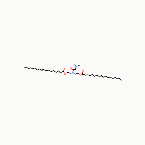 CCCCCCCCC=CCCCCCCCC(=O)OCCN(CCOC(=O)CCCCCCCC=CCCCCCCCC)C(=O)CN(C)C